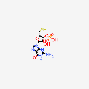 Nc1nc2c(ncn2[C@@H]2O[C@H](CS)[C@@H](OP(=O)(O)O)[C@H]2O)c(=O)[nH]1